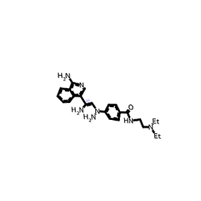 CCN(CC)CCNC(=O)c1ccc(N(N)/C=C(\N)c2cnc(N)c3ccccc23)cc1